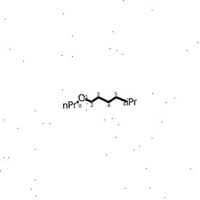 CCCOCCCCC(C)C